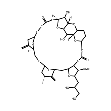 C=C1C2CC3OC(CC(O)CO)[C@H](OC)C3CC(=O)CC3CCC4O[C@@H]5C(O[C@@H](CC(=O)CCC6CC(=C)[C@H](CCC(C[C@H]1C)O2)O6)C5O)C(O)[C@H]4O3